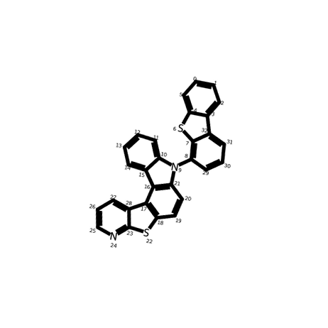 c1ccc2c(c1)sc1c(-n3c4ccccc4c4c5c(ccc43)sc3ncccc35)cccc12